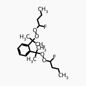 CCCC(F)OOC(C)(C)c1ccccc1C(C)(C)OOC(F)CCC